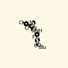 CC(C)(C)OC(=O)N1CCN(c2ccc(Nc3ncc4c(n3)N3CCCN=C3C(c3ccc(Cl)cc3Cl)=C4)cc2F)CC1